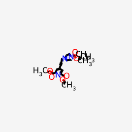 CCOC(=O)c1cc(C#CCN2CCN(C(=O)OC(C)(C)C)CC2)cc(C(=O)OCC)n1